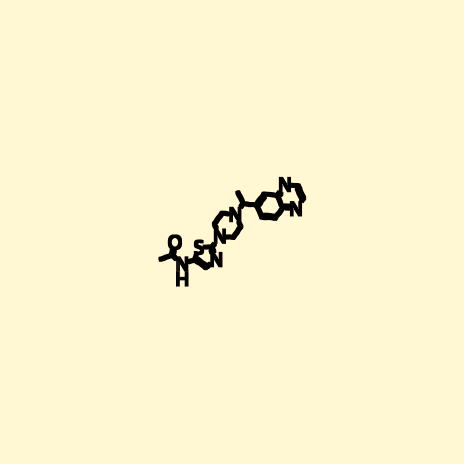 CC(=O)Nc1cnc(N2CCN(C(C)c3ccc4nccnc4c3)CC2)s1